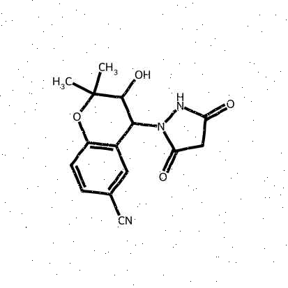 CC1(C)Oc2ccc(C#N)cc2C(N2NC(=O)CC2=O)C1O